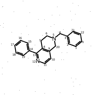 c1ccc(CN2CCc3c(ccnc3-c3ccccc3)C2)cc1